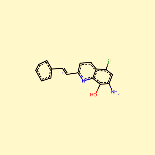 Nc1cc(Cl)c2ccc(/C=C/c3ccccc3)nc2c1O